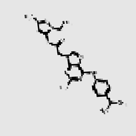 CCn1nc(C)cc1NC(=O)Cn1cnc2c(Nc3ccc(C(C)C)cc3)nc(N)nc21